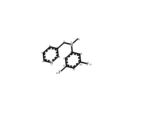 CN(Cc1cccnc1)c1cc(F)cc(F)c1